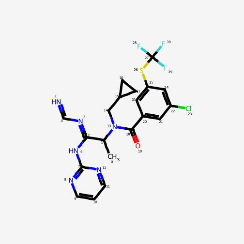 CC(/C(=N/C=N)Nc1ncccn1)N(CC1CC1)C(=O)c1cc(Cl)cc(SC(F)(F)F)c1